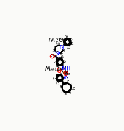 C/C=N\c1c(C2CCCCCCC2)cccc1S(=O)(=O)Nc1ccc(C(=O)N2CCCN(c3ccccc3OC)CC2)cc1OC